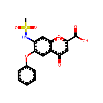 CS(=O)(=O)Nc1cc2oc(C(=O)O)cc(=O)c2cc1Oc1ccccc1